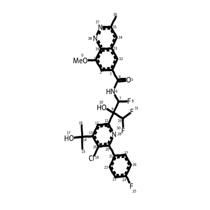 COc1cc(C(=O)NC(F)C(O)(c2cc(C(C)(C)O)c(Cl)c(-c3ccc(F)cc3)n2)C(F)F)cc2cc(C)nnc12